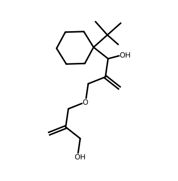 C=C(CO)COCC(=C)C(O)C1(C(C)(C)C)CCCCC1